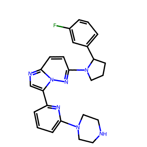 Fc1cccc(C2CCCN2c2ccc3ncc(-c4cccc(N5CCNCC5)n4)n3n2)c1